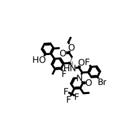 CCOC(=O)C[C@H](NC(=O)C(c1cc(Br)ccc1F)n1ccc(C(F)(F)F)c(CC)c1=O)c1cc(-c2c(C)cccc2O)cc(C)c1F